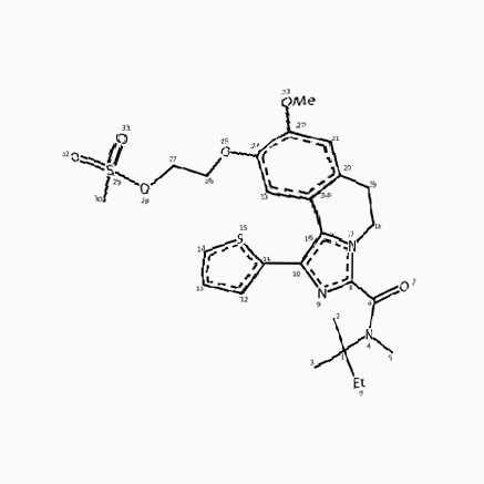 CCC(C)(C)N(C)C(=O)c1nc(-c2cccs2)c2n1CCc1cc(OC)c(OCCOS(C)(=O)=O)cc1-2